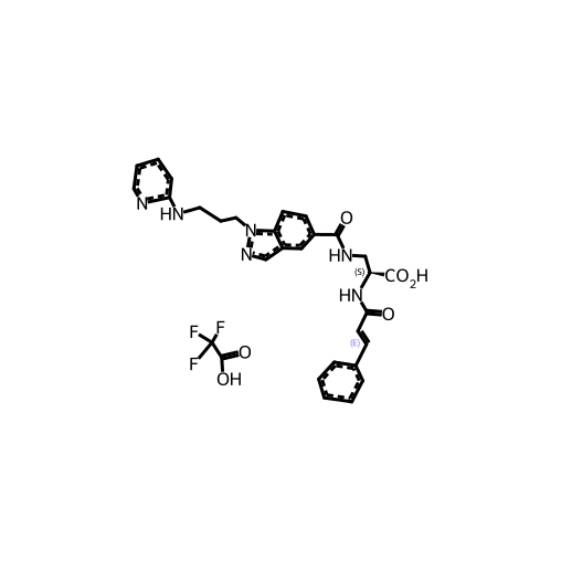 O=C(/C=C/c1ccccc1)N[C@@H](CNC(=O)c1ccc2c(cnn2CCCNc2ccccn2)c1)C(=O)O.O=C(O)C(F)(F)F